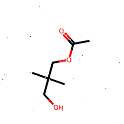 [CH2]C(C)(CO)COC(C)=O